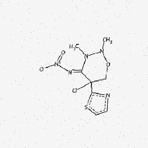 CN1OCC(Cl)(c2nccs2)C(=N[N+](=O)[O-])N1C